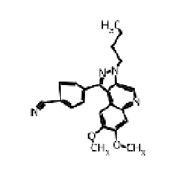 CCCCn1nc(-c2ccc(C#N)cc2)c2c3cc(OC)c(OC)cc3ncc21